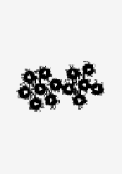 c1ccc(-c2cc3c4c(c2)N(c2ccccc2)c2ccc(-c5cccc(N(c6ccccc6)c6cc7c8c(c6)N(c6ccccc6)c6ccccc6B8c6ccccc6N7c6ccccc6)c5)cc2B4c2ccccc2N3c2ccccc2)cc1